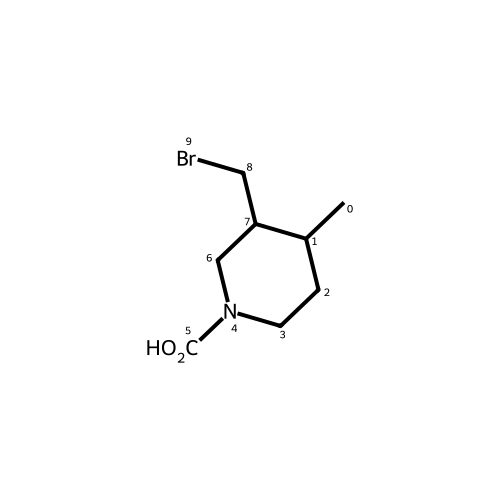 CC1CCN(C(=O)O)CC1CBr